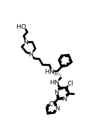 Cc1nc(-c2ccccn2)nc(NC[C@H](NCCCCN2CCN(CCO)CC2)c2ccccc2)c1Cl